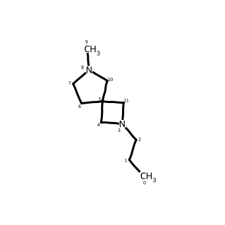 CCCN1CC2(CCN(C)C2)C1